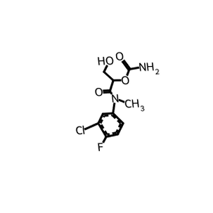 CN(C(=O)C(CO)OC(N)=O)c1ccc(F)c(Cl)c1